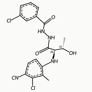 [C-]#[N+]c1ccc(N[C@@H](C(=O)NNC(=O)c2cccc(Cl)c2)[C@H](C)O)c(C)c1Cl